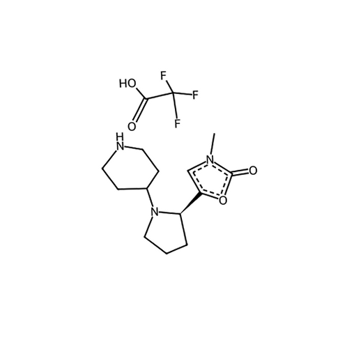 Cn1cc([C@H]2CCCN2C2CCNCC2)oc1=O.O=C(O)C(F)(F)F